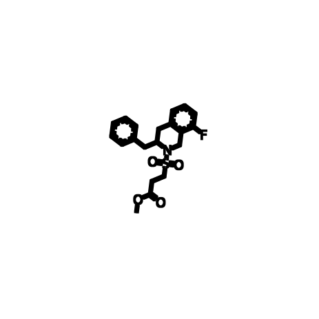 COC(=O)CCS(=O)(=O)N1Cc2c(F)cccc2CC1Cc1ccccc1